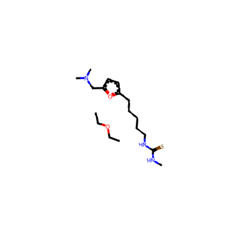 CCOCC.CNC(=S)NCCCCCc1ccc(CN(C)C)o1